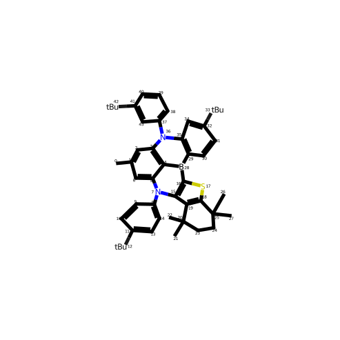 Cc1cc2c3c(c1)N(c1ccc(C(C)(C)C)cc1)c1c(sc4c1C(C)(C)CCC4(C)C)B3c1ccc(C(C)(C)C)cc1N2c1cccc(C(C)(C)C)c1